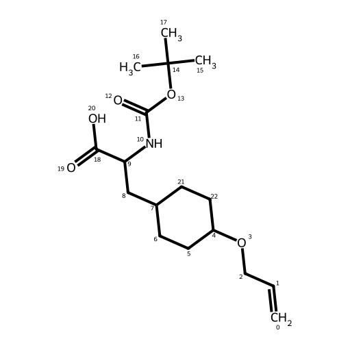 C=CCOC1CCC(CC(NC(=O)OC(C)(C)C)C(=O)O)CC1